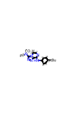 CC(C)N(C(=O)O)c1nnc2c(Nc3ccc(C(C)(C)C)cc3)nccn12